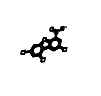 O=[N+]([O-])c1cc(Cl)cc2c1oc1cc(Cl)cc(Cl)c12